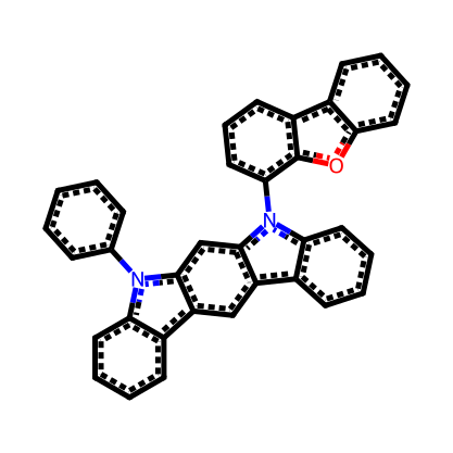 c1ccc(-n2c3ccccc3c3cc4c5ccccc5n(-c5cccc6c5oc5ccccc56)c4cc32)cc1